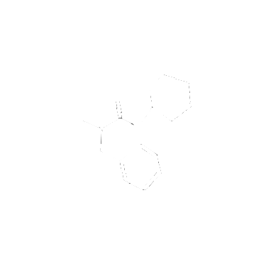 CCN(Cc1ccccc1)C(=O)OC1CCCCO1